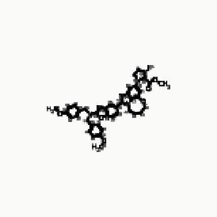 COC(=O)[C@@H]1[C@@H](F)CCN1c1cc2c3c(c1)nc(-c1ccc4oc(N(Cc5ccc(OC)cc5)Cc5ccc(OC)cc5)nc4c1)n3CCCCO2